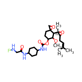 COC1C(OC(=O)NC2CCC(NC(=O)CNF)CC2)CCC2(CO2)C1[C@]1(C)OC1CC=C(C)C